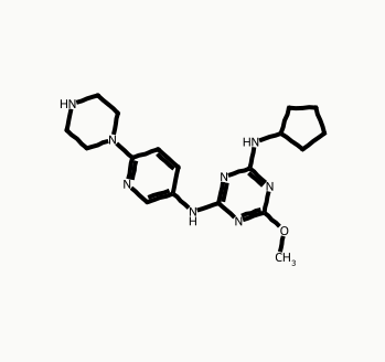 COc1nc(Nc2ccc(N3CCNCC3)nc2)nc(NC2CCCC2)n1